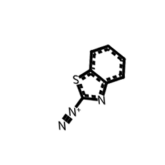 N#[N+]c1nc2ccccc2s1